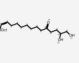 CCCCCCCC/C=C\CCCCCCCC(=O)CCC(O)CO